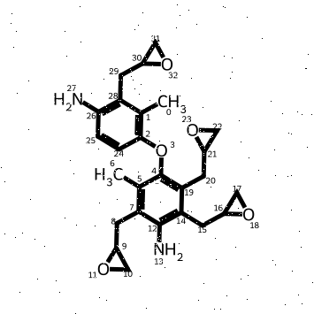 Cc1c(Oc2c(C)c(CC3CO3)c(N)c(CC3CO3)c2CC2CO2)ccc(N)c1CC1CO1